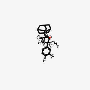 COC(=O)C12CC3CC(C1)C(N1CC(C)(c4ccc(F)c(F)c4)NC1=O)C(C3)C2